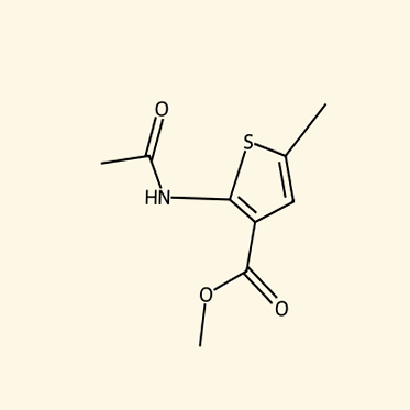 COC(=O)c1cc(C)sc1NC(C)=O